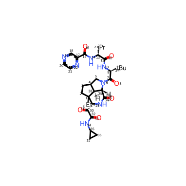 CCC12CCC3CN(C(=O)[C@@H](NC(=O)[C@@H](NC(=O)c4cnccn4)C(C)C)C(C)(C)C)[C@H](C(=O)N[C@@H]1C(=O)C(=O)NC1CC1)[C@H]32